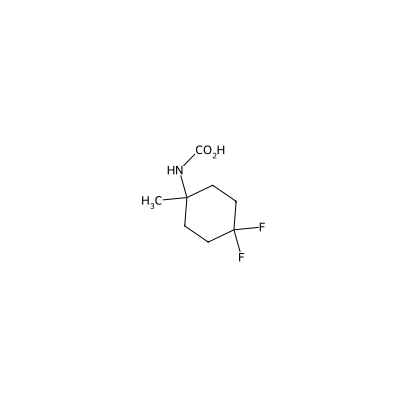 CC1(NC(=O)O)CCC(F)(F)CC1